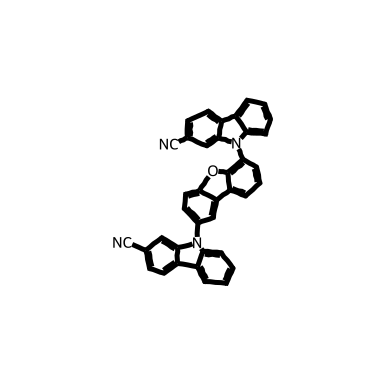 N#Cc1ccc2c3ccccc3n(-c3ccc4oc5c(-n6c7ccccc7c7ccc(C#N)cc76)cccc5c4c3)c2c1